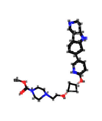 CC(C)(C)OC(=O)N1CCN(CCO[C@H]2C[C@@H](Oc3ccc(-c4ccc5c(c4)[nH]c4ccncc45)cn3)C2)CC1